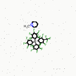 C[n+]1ccccc1.Fc1c(F)c(F)c([B-](c2c(F)c(F)c(F)c(F)c2F)(c2c(F)c(F)c(F)c(F)c2F)c2c(F)c(F)c(C(F)(F)F)c(F)c2F)c(F)c1F